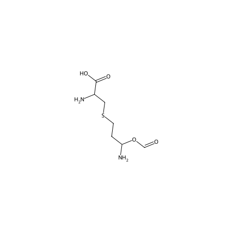 NC(CCSCC(N)C(=O)O)OC=O